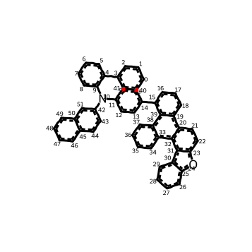 c1ccc(-c2ccccc2N(c2ccc(-c3cccc4c5ccc6oc7ccccc7c6c5c5ccccc5c34)cc2)c2ccc3ccccc3c2)cc1